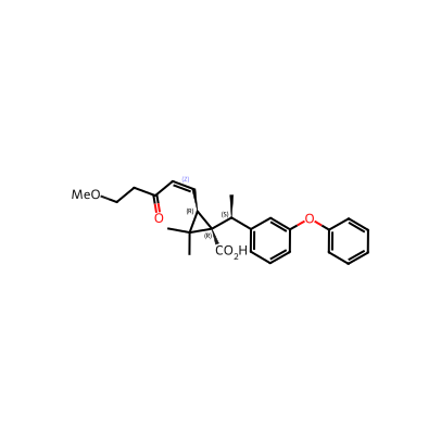 COCCC(=O)/C=C\[C@@H]1C(C)(C)[C@@]1(C(=O)O)[C@@H](C)c1cccc(Oc2ccccc2)c1